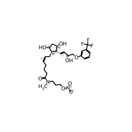 CN(CCCO[N+](=O)[O-])C(=O)CCC/C=C\C[C@@H]1[C@@H](/C=C/[C@@H](O)COc2cccc(C(F)(F)F)c2)[C@H](O)C[C@@H]1O